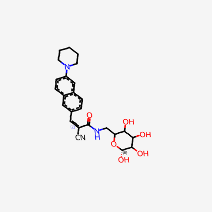 N#C/C(=C/c1ccc2cc(N3CCCCC3)ccc2c1)C(=O)NCC1O[C@@H](O)C(O)C(O)C1O